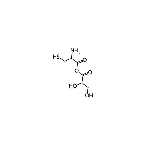 NC(CS)C(=O)OC(=O)C(O)CO